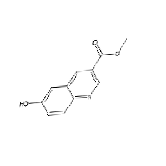 COC(=O)c1cnc2ccc(O)cc2c1